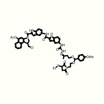 CCSC1CC(=O)N(CCOC(OCC/C(C)=N\NC(=O)Nc2ccc3[nH]c(C(=O)Nc4ccc5[nH]c(C(=O)N6CC(CCl)c7c6cc(OC(C)=O)c6ccccc76)cc5c4)cc3c2)c2ccc(OC)cc2)C1=O